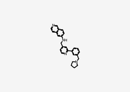 c1cc(CN2CCCC2)cc(-c2cc(CNc3ccc4cnccc4c3)ccn2)c1